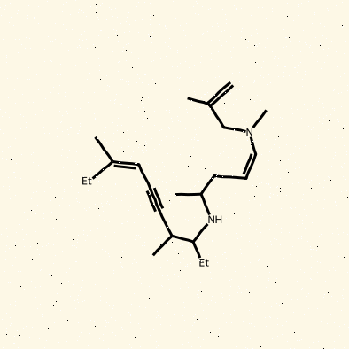 C=C(C)CN(C)/C=C\CC(C)NC(CC)C(C)C#C/C=C(/C)CC